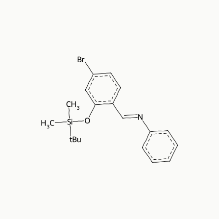 CC(C)(C)[Si](C)(C)Oc1cc(Br)ccc1/C=N/c1ccccc1